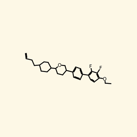 C=CCCC1CCC(C2CCC(c3ccc(-c4ccc(OCC)c(F)c4F)cc3)CO2)CC1